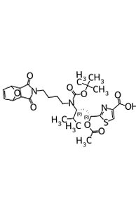 CC(=O)O[C@H](C[C@H](C(C)C)N(CCCCN1C(=O)C2C3C=CC(O3)C2C1=O)C(=O)OC(C)(C)C)c1nc(C(=O)O)cs1